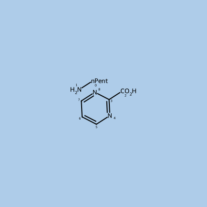 CCCCCN.O=C(O)c1ncccn1